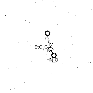 CCOC(=O)c1nc(-c2ccc3c(c2)NCCO3)sc1N(C)CCOc1ccccc1